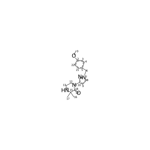 COc1ccc(Cn2ccc(N3CCNC(C)(C)C3=O)n2)cc1